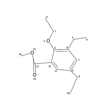 CCOc1c(CC)cc(CC)cc1C(=O)OC